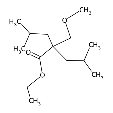 CCOC(=O)C(COC)(CC(C)C)CC(C)C